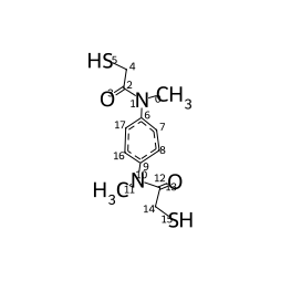 CN(C(=O)CS)c1ccc(N(C)C(=O)CS)cc1